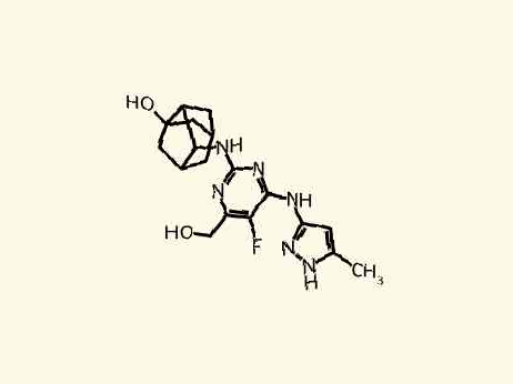 Cc1cc(Nc2nc(NC3C4CC5CC3C(O)(C5)C4)nc(CO)c2F)n[nH]1